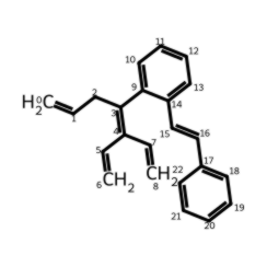 C=CCC(=C(C=C)C=C)c1ccccc1C=Cc1ccccc1